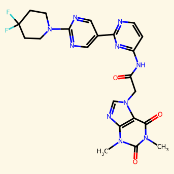 Cn1c(=O)c2c(ncn2CC(=O)Nc2ccnc(-c3cnc(N4CCC(F)(F)CC4)nc3)n2)n(C)c1=O